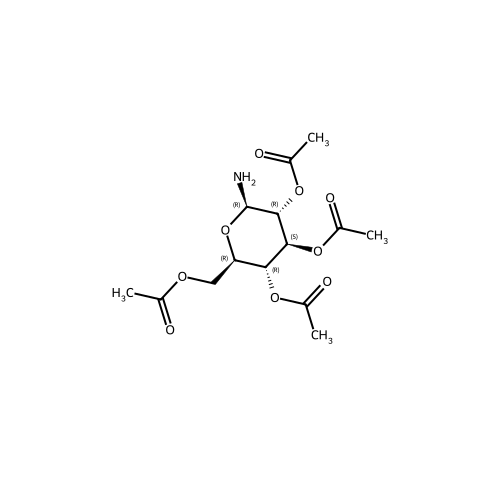 CC(=O)OC[C@H]1O[C@@H](N)[C@H](OC(C)=O)[C@@H](OC(C)=O)[C@@H]1OC(C)=O